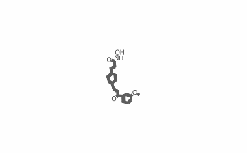 COc1cccc(C(=O)C=Cc2ccc(C=CC(=O)NO)cc2)c1